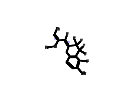 CC/C=C(OCC)\C(F)=C1/Cc2ccc(CCC)c(F)c2C(F)(F)C1(F)F